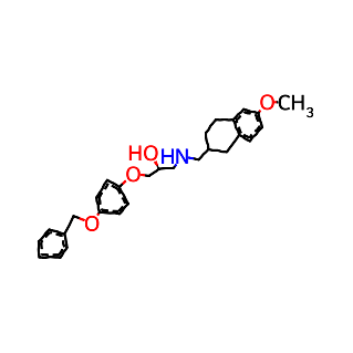 COc1ccc2c(c1)CCC(CNC[C@H](O)COc1ccc(OCc3ccccc3)cc1)C2